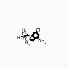 CC(C)(O)Cn1ccc2c(N)cc(Cl)cc21